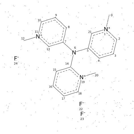 C[n+]1cccc(N(c2ccc[n+](C)c2)c2cccc[n+]2C)c1.[F-].[F-].[F-]